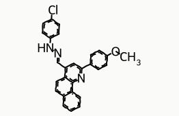 COc1ccc(-c2cc(C=NNc3ccc(Cl)cc3)c3ccc4ccccc4c3n2)cc1